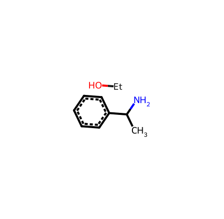 CC(N)c1ccccc1.CCO